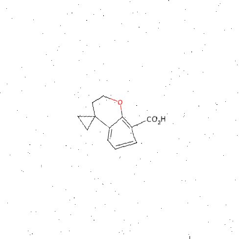 O=C(O)c1cccc2c1OCCC21CC1